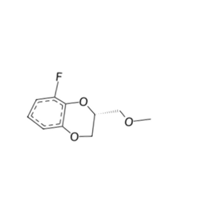 COC[C@@H]1COc2cccc(F)c2O1